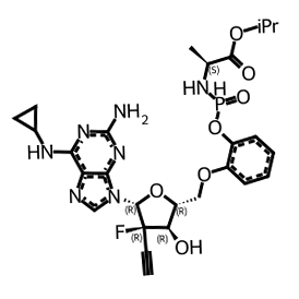 C#C[C@@]1(F)[C@H](O)[C@@H](COc2ccccc2O[PH](=O)N[C@@H](C)C(=O)OC(C)C)O[C@H]1n1cnc2c(NC3CC3)nc(N)nc21